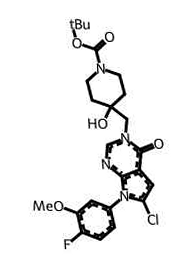 COc1cc(-n2c(Cl)cc3c(=O)n(CC4(O)CCN(C(=O)OC(C)(C)C)CC4)cnc32)ccc1F